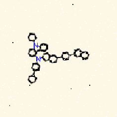 c1ccc(-c2ccc(N(c3ccc4cc(-c5ccc(-c6ccc7ccccc7c6)cc5)ccc4c3)c3cccc4c3c3ccccc3n4-c3ccccc3)cc2)cc1